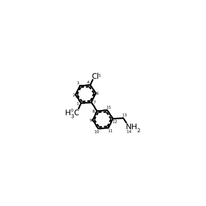 Cc1ccc(Cl)cc1-c1cccc(CN)c1